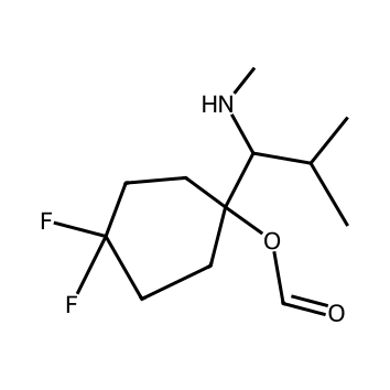 CNC(C(C)C)C1(OC=O)CCC(F)(F)CC1